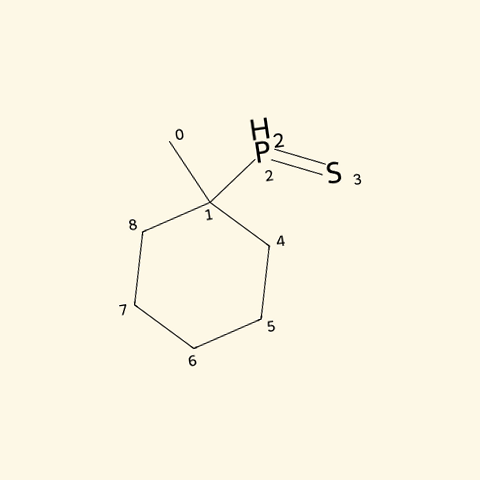 CC1([PH2]=S)CCCCC1